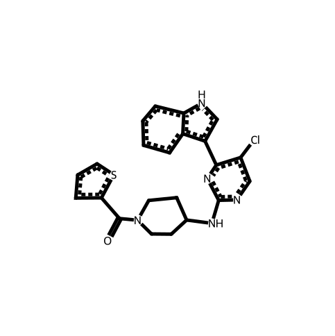 O=C(c1cccs1)N1CCC(Nc2ncc(Cl)c(-c3c[nH]c4ccccc34)n2)CC1